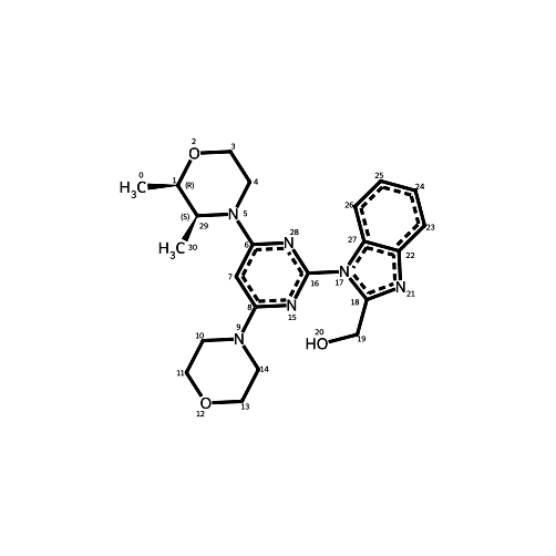 C[C@H]1OCCN(c2cc(N3CCOCC3)nc(-n3c(CO)nc4ccccc43)n2)[C@H]1C